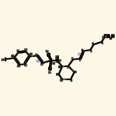 O=C(O)CCC/C=C/CC1CCCCC1NS(=O)(=O)/C=C/c1ccc(I)cc1